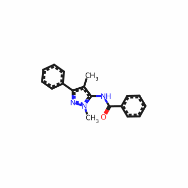 Cc1c(-c2ccccc2)nn(C)c1NC(=O)c1ccccc1